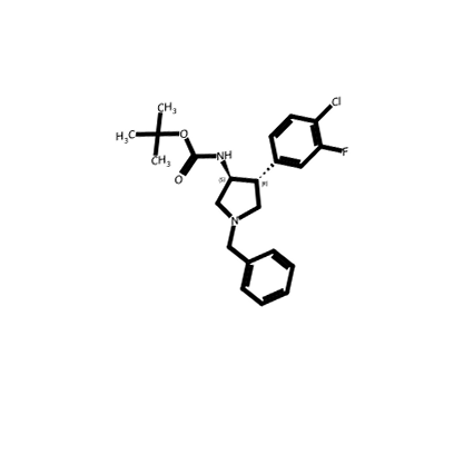 CC(C)(C)OC(=O)N[C@@H]1CN(Cc2ccccc2)C[C@H]1c1ccc(Cl)c(F)c1